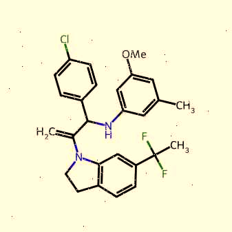 C=C(C(Nc1cc(C)cc(OC)c1)c1ccc(Cl)cc1)N1CCc2ccc(C(C)(F)F)cc21